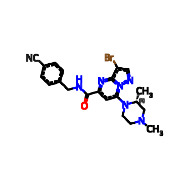 C[C@@H]1CN(C)CCN1c1cc(C(=O)NCc2ccc(C#N)cc2)nc2c(Br)cnn12